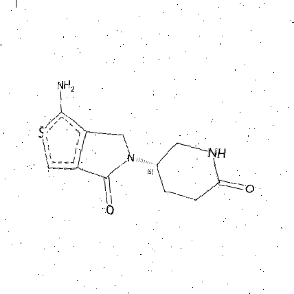 Nc1scc2c1CN([C@H]1CCC(=O)NC1)C2=O